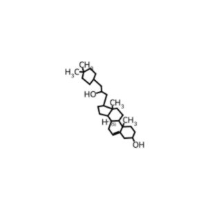 CC1(C)CCC(CC(O)CC2CCC3[C@@H]4CC=C5CC(O)CCC5(C)C4CCC23C)CC1